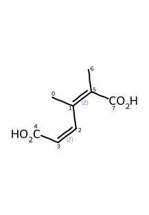 CC(/C=C\C(=O)O)=C(\C)C(=O)O